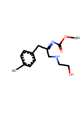 CC(C)(C)OC(=O)/N=C(\CNCCO)Cc1ccc(C#N)cc1